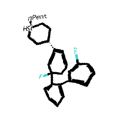 CCCCC[Si@H]1CC[C@H](C2=CC(F)(c3ccccc3-c3cccc(F)c3)CC=C2)CC1